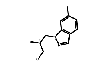 Cc1ccc2cnn(C[C@H](C)CO)c2c1